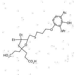 CCCc1c(OCCCSCC2OC(CCC(=O)O)(CCC(=O)O)SC2(CC)CC)ccc(C(C)=O)c1O